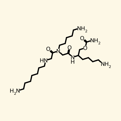 NCCCCCCCNCC(=O)N(CCCCCN)CC(=O)NC(CCCCN)COC(N)=O